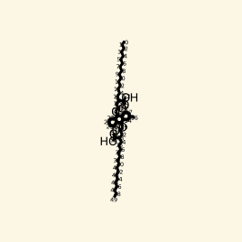 CCCCCCCCCCCCCCCCC(CC(=O)Oc1c2ccccc2c(OC(=O)CC(CCCCCCCCCCCCCCCC)C(=O)O)c2cc(C)ccc12)C(=O)O